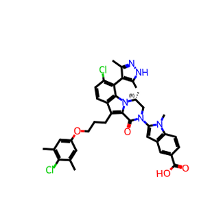 Cc1cc(OCCCc2c3n(c4c(-c5c(C)n[nH]c5C)c(Cl)ccc24)[C@H](C)CN(c2cc4cc(C(=O)O)ccc4n2C)C3=O)cc(C)c1Cl